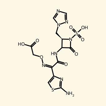 Nc1nc(/C(=N/OCC(=O)O)C(=O)NC2C(=O)N(S(=O)(=O)O)[C@@H]2Cn2cncn2)cs1